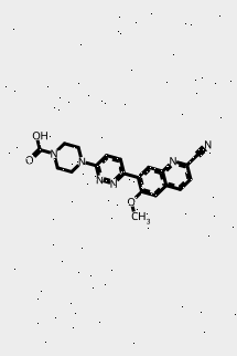 COc1cc2ccc(C#N)nc2cc1-c1ccc(N2CCN(C(=O)O)CC2)nn1